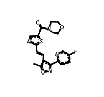 Cc1onc(-c2ccc(F)cn2)c1C=Cc1ncc(C(=O)N2CCOCC2)s1